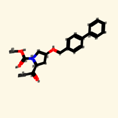 COC(=O)[C@@H]1C[C@H](OCc2ccc(-c3ccccc3)cc2)CN1C(=O)OC(C)(C)C